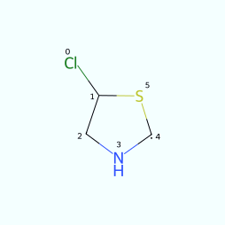 ClC1CN[CH]S1